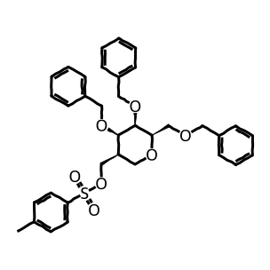 Cc1ccc(S(=O)(=O)OC[C@@H]2CO[C@H](COCc3ccccc3)[C@H](OCc3ccccc3)[C@@H]2OCc2ccccc2)cc1